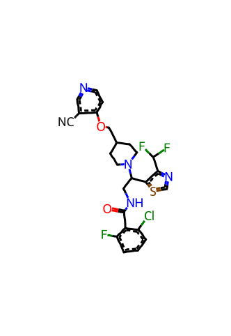 N#Cc1cnccc1OCC1CCN(C(CNC(=O)c2c(F)cccc2Cl)c2scnc2C(F)F)CC1